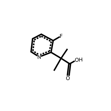 CC(C)(C(=O)O)c1ncccc1F